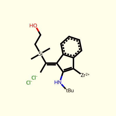 CC(=C1C(NC(C)(C)C)=[C]([Zr+2])c2ccccc21)[Si](C)(C)CCO.[Cl-].[Cl-]